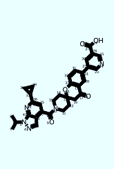 CC(C)n1ncc2c(C(=O)N3CCC4(CC3)CC(=O)c3cc(-c5cncc(C(=O)O)c5)ccc3O4)cc(C3CC3)nc21